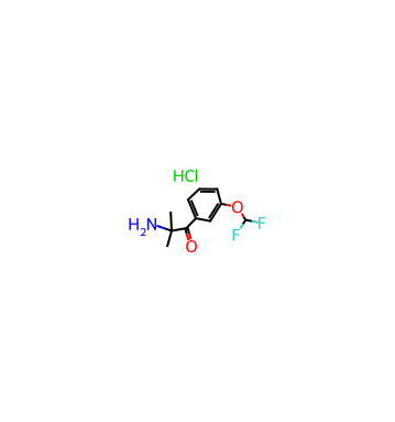 CC(C)(N)C(=O)c1cccc(OC(F)F)c1.Cl